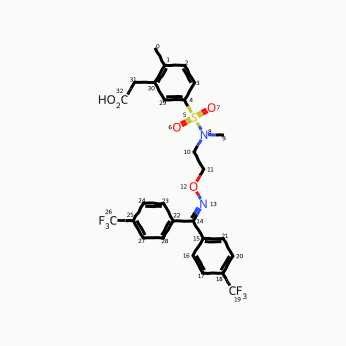 Cc1ccc(S(=O)(=O)N(C)CCON=C(c2ccc(C(F)(F)F)cc2)c2ccc(C(F)(F)F)cc2)cc1CC(=O)O